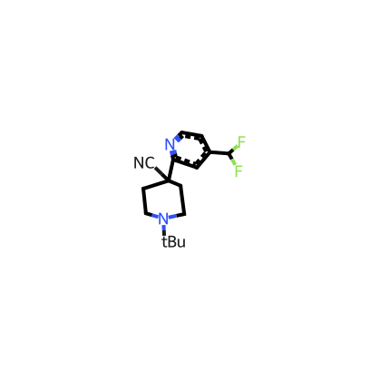 CC(C)(C)N1CCC(C#N)(c2cc(C(F)F)ccn2)CC1